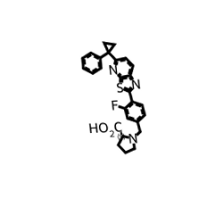 O=C(O)[C@@H]1CCCN1Cc1ccc(-c2nc3ccc(C4(c5ccccc5)CC4)nc3s2)c(F)c1